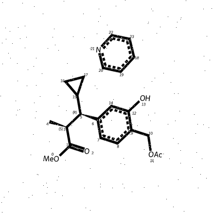 COC(=O)[C@@H](C)[C@H](c1ccc(COC(C)=O)c(O)c1)C1CC1.c1ccncc1